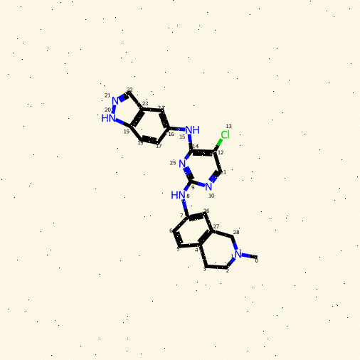 CN1CCc2ccc(Nc3ncc(Cl)c(Nc4ccc5[nH]ncc5c4)n3)cc2C1